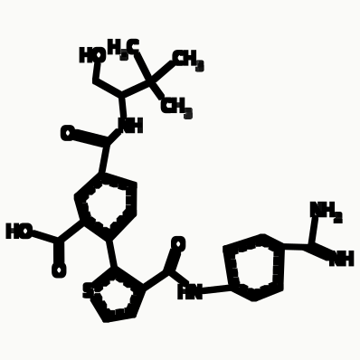 CC(C)(C)C(CO)NC(=O)c1ccc(-c2sccc2C(=O)Nc2ccc(C(=N)N)cc2)c(C(=O)O)c1